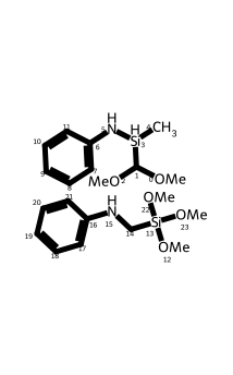 COC(OC)[SiH](C)Nc1ccccc1.CO[Si](CNc1ccccc1)(OC)OC